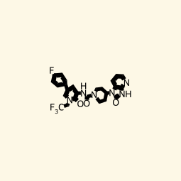 O=C(Nc1cc(-c2ccc(F)cc2)cn(CC(F)(F)F)c1=O)N1CCC(n2c(=O)[nH]c3ncccc32)CC1